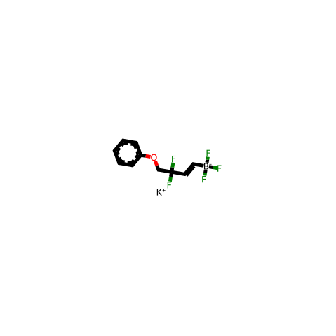 F[B-](F)(F)/C=C/C(F)(F)COc1ccccc1.[K+]